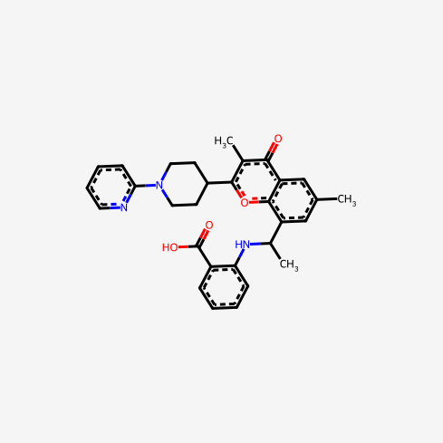 Cc1cc(C(C)Nc2ccccc2C(=O)O)c2oc(C3CCN(c4ccccn4)CC3)c(C)c(=O)c2c1